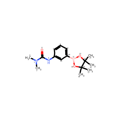 CN(C)C(=O)Nc1cccc(B2OC(C)(C)C(C)(C)O2)c1